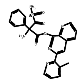 Cc1cccnc1-c1cc2cccnc2c(OC(=O)C(N)(C(=O)S(N)(=O)=O)c2ccccc2)n1